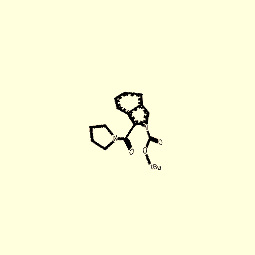 CC(C)(C)OC(=O)n1cc2ccccc2c1C(=O)N1CCCC1